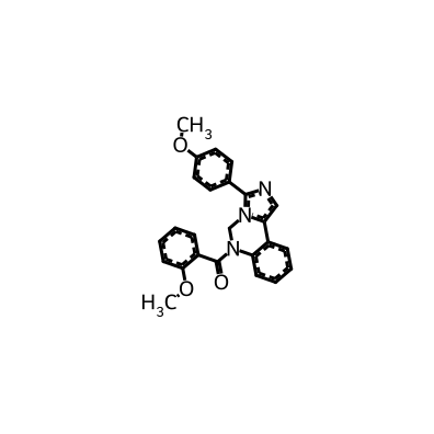 COc1ccc(-c2ncc3n2CN(C(=O)c2ccccc2OC)c2ccccc2-3)cc1